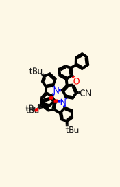 CC(C)(C)c1ccc2c(c1)c1cc(C(C)(C)C)ccc1n2-c1cc(C#N)c2oc3c(-c4ccccc4)cccc3c2c1-n1c2ccc(C(C)(C)C)cc2c2cc(C(C)(C)C)ccc21